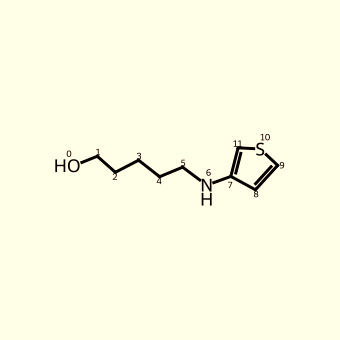 OCCCCCNc1ccsc1